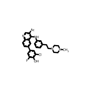 CC(=O)c1cnc2ccc(-c3cc(F)c(O)c(Cl)c3)cc2c1Nc1cccc(CCN2CCN(C)CC2)c1